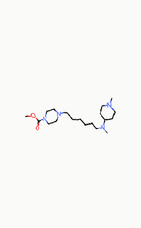 COC(=O)N1CCN(CCCCCCN(C)C2CCN(C)CC2)CC1